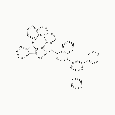 c1ccc(-c2nc(-c3ccccc3)nc(-c3ccc(-n4c5ccc6c7c5c5c8c(cccc8ccc54)C7(c4ccccc4)c4ccccc4-6)c4ccccc34)n2)cc1